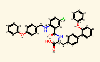 O=C(N[C@@H](Cc1ccc(-c2ccccc2Oc2ccccc2)cc1)C(=O)O)c1cc(Cl)ccc1NCc1ccc(Oc2ccccc2)cc1